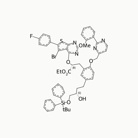 CCOC(=O)[C@@H](Cc1cc(CC[C@H](O)CO[Si](c2ccccc2)(c2ccccc2)C(C)(C)C)ccc1OCc1ccnc(-c2ccccc2OC)n1)Oc1ncnc2sc(-c3ccc(F)cc3)c(Br)c12